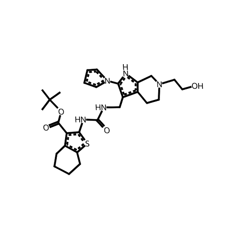 CC(C)(C)OC(=O)c1c(NC(=O)NCc2c(-n3cccc3)[nH]c3c2CCN(CCO)C3)sc2c1CCCC2